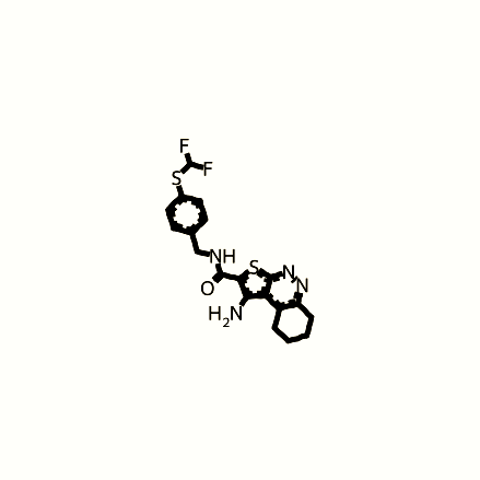 Nc1c(C(=O)NCc2ccc(SC(F)F)cc2)sc2nnc3c(c12)CCCC3